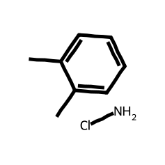 Cc1ccccc1C.NCl